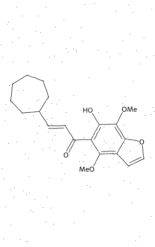 COc1c(C(=O)/C=C/C2CCCCCC2)c(O)c(OC)c2occc12